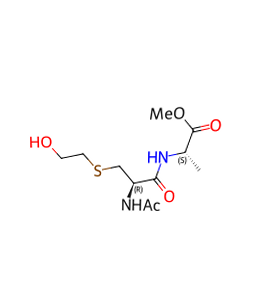 COC(=O)[C@H](C)NC(=O)[C@H](CSCCO)NC(C)=O